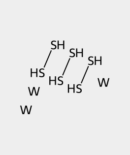 SS.SS.SS.[W].[W].[W]